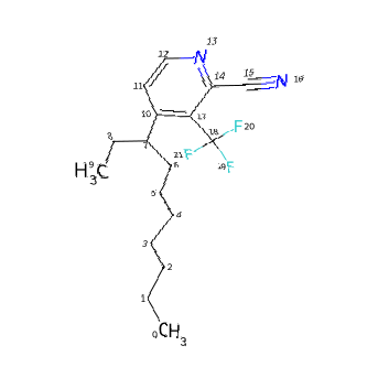 CCCCCCCC(CC)c1ccnc(C#N)c1C(F)(F)F